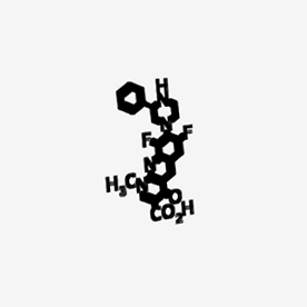 Cn1cc(C(=O)O)c(=O)c2cc3cc(F)c(N4CCN[C@H](c5ccccc5)C4)c(F)c3nc21